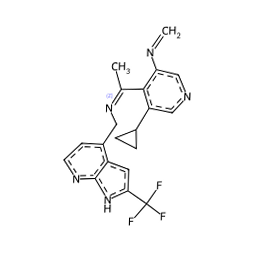 C=Nc1cncc(C2CC2)c1/C(C)=N\Cc1ccnc2[nH]c(C(F)(F)F)cc12